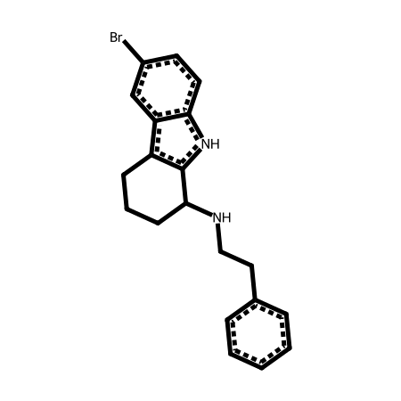 Brc1ccc2[nH]c3c(c2c1)CCCC3NCCc1ccccc1